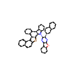 c1ccc2cc(-c3nc4oc5ccccc5c4nc3-n3c4ccccc4c4c5ccccc5c5c(sc6ccc7ccccc7c65)c43)ccc2c1